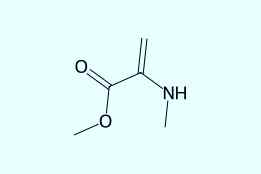 C=C(NC)C(=O)OC